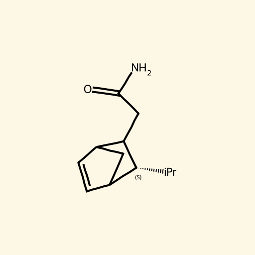 CC(C)[C@@H]1C2C=CC(C2)C1CC(N)=O